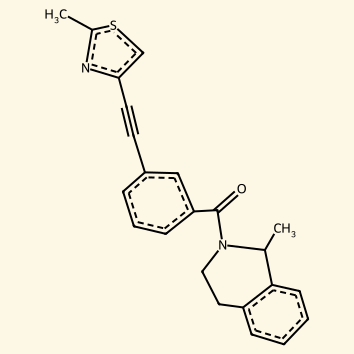 Cc1nc(C#Cc2cccc(C(=O)N3CCc4ccccc4C3C)c2)cs1